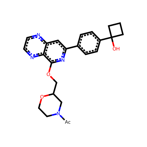 CC(=O)N1CCOC(COc2nc(-c3ccc(C4(O)CCC4)cc3)cc3nccnc23)C1